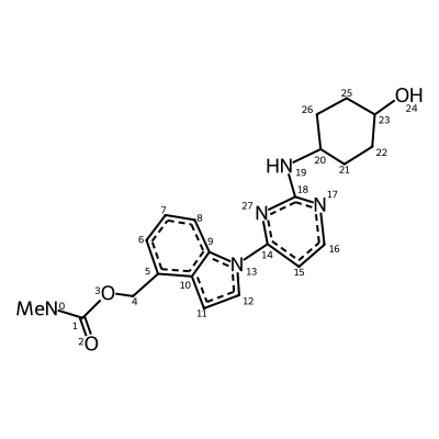 CNC(=O)OCc1cccc2c1ccn2-c1ccnc(NC2CCC(O)CC2)n1